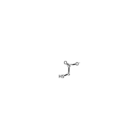 O=[N+]([O-])SS